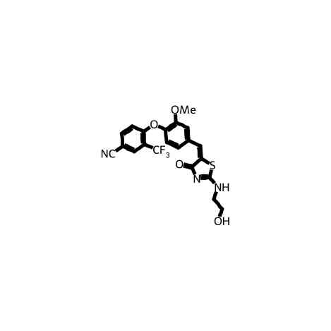 COc1cc(C=C2SC(NCCO)=NC2=O)ccc1Oc1ccc(C#N)cc1C(F)(F)F